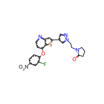 O=C1CCCN1CCn1cc(-c2cc3nccc(Oc4ccc([N+](=O)[O-])cc4F)c3s2)cn1